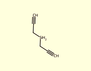 C#CC[SiH2]CC#C